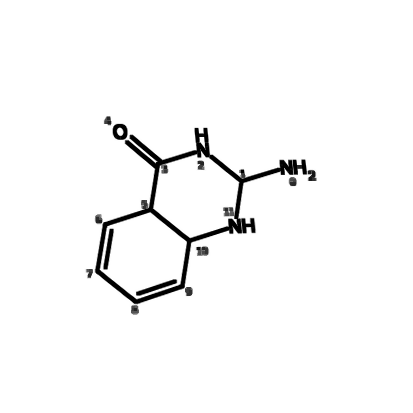 NC1NC(=O)C2C=CC=CC2N1